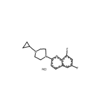 Cl.Fc1cc(F)c2nc(N3CCN(C4CC4)CC3)ccc2c1